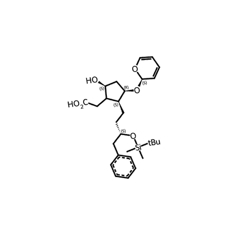 CC(C)(C)[Si](C)(C)O[C@@H](CC[C@H]1C(CC(=O)O)[C@@H](O)C[C@H]1O[C@@H]1C=CC=CO1)Cc1ccccc1